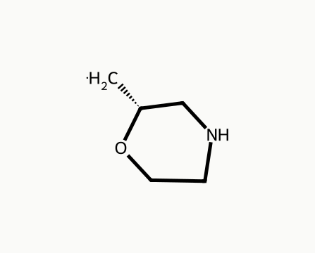 [CH2][C@@H]1CNCCO1